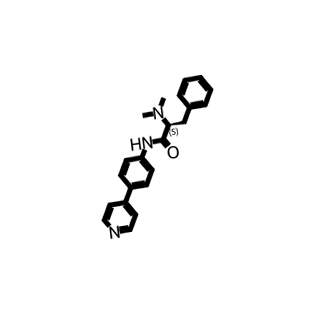 CN(C)[C@@H](Cc1ccccc1)C(=O)Nc1ccc(-c2ccncc2)cc1